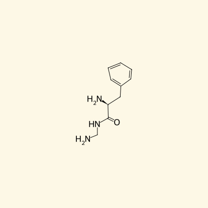 NCNC(=O)[C@@H](N)Cc1ccccc1